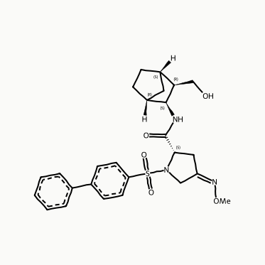 CON=C1C[C@@H](C(=O)N[C@H]2[C@@H]3CC[C@@H](C3)[C@H]2CO)N(S(=O)(=O)c2ccc(-c3ccccc3)cc2)C1